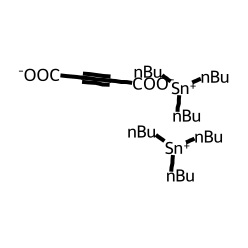 CCC[CH2][Sn+]([CH2]CCC)[CH2]CCC.CCC[CH2][Sn+]([CH2]CCC)[CH2]CCC.O=C([O-])C#CC(=O)[O-]